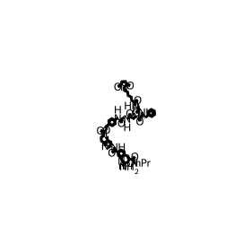 CCCN(CCC)C(=O)C1=Cc2ccc(C(=O)Nc3cnc4c(c3)CN(C(=O)OCc3ccc(NC(=O)CNC(=O)CNC(=O)[C@H](Cc5ccccc5)NC(=O)CNC(=O)CCCCCN5C(=O)C=CC5=O)cc3)CC4)cc2N=C(N)C1